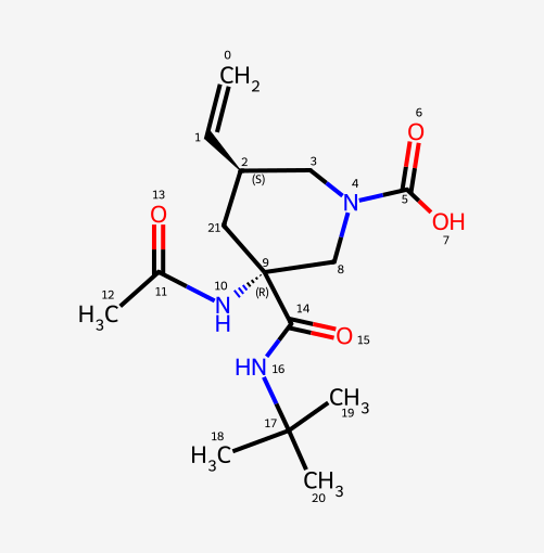 C=C[C@H]1CN(C(=O)O)C[C@@](NC(C)=O)(C(=O)NC(C)(C)C)C1